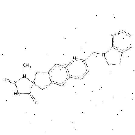 CN1C(=O)NC(=O)C12Cc1cc3ccc(CN4CCc5cccnc54)nc3cc1C2